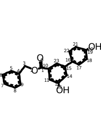 O=C(OCc1ccccc1)c1cc(O)cc(-c2ccc(O)cc2)c1